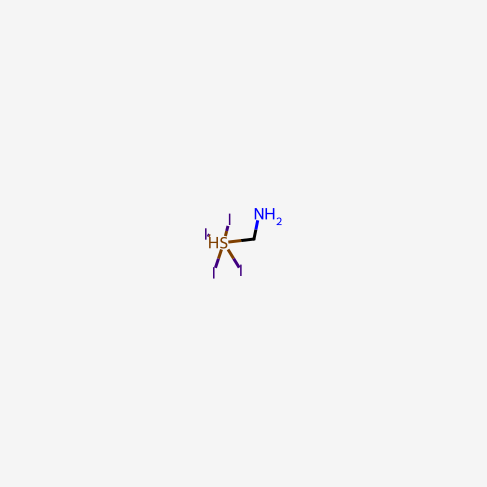 NC[SH](I)(I)(I)I